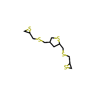 C(SCC1CS1)C1CSC(CSCC2CS2)C1